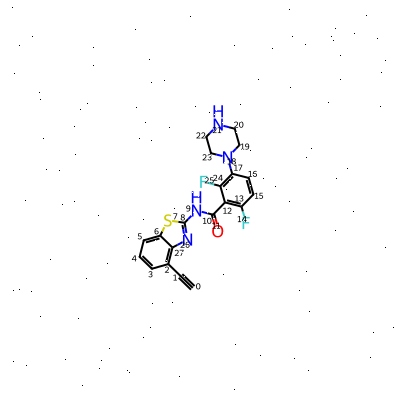 C#Cc1cccc2sc(NC(=O)c3c(F)ccc(N4CCNCC4)c3F)nc12